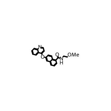 COCCNC(=O)c1cccc2cc(Oc3ccnc4ccccc34)ccc12